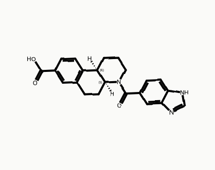 O=C(O)c1ccc2c(c1)CC[C@H]1[C@@H]2CCCN1C(=O)c1ccc2[nH]cnc2c1